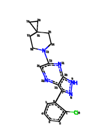 Clc1ccccc1-c1n[nH]c2nc(N3CCC4(CC3)CC4)cnc12